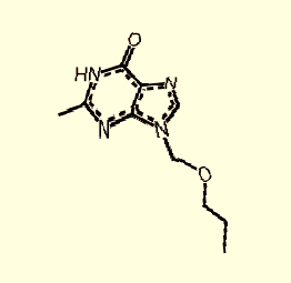 CCCOCn1cnc2c(=O)[nH]c(C)nc21